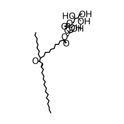 CCCCCCCCCCCCCCCC=CC(=O)C(CCCCCCCC)CCCCCCCCC(=O)OC[C@H](CO)OP(=O)(O)OC[C@@H](O)[C@H](O)CO